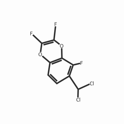 FC1=C(F)Oc2c(ccc(C(Cl)Cl)c2F)O1